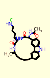 C=C1CCCCc2ccc3[nH]c4ccc(cc4c3c2)C(NC(C)=O)C(=O)N/C(=C\CCCNCl)C(=O)N1